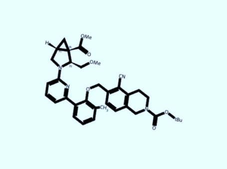 COC[C@H]1N(c2cccc(-c3cccc(C)c3OCc3ccc4c(c3C#N)CCN(C(=O)OC(C)(C)C)C4)n2)C[C@@H]2C[C@@]21C(=O)OC